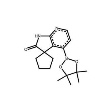 CC1(C)OB(c2ccnc3c2C2(CCCC2)C(=O)N3)OC1(C)C